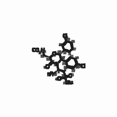 CCC[C@@H](CS(=O)(=O)C(C)(C)C)N1C(=O)[C@H](CC(=O)O)O[C@H](c2cccc(Cl)c2)[C@H]1c1ccc(Cl)cc1